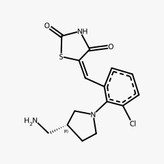 NC[C@H]1CCN(c2c(Cl)cccc2C=C2SC(=O)NC2=O)C1